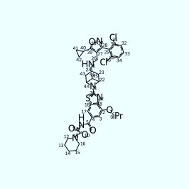 CC(C)Oc1cc(C(=O)NS(=O)(=O)N2CCCCC2)cc2sc(N3C4CC(NCc5c(-c6c(Cl)cccc6Cl)noc5C5CC5)CC3C4C)nc12